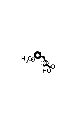 COc1cccc(Cc2nc(C(=O)O)co2)c1